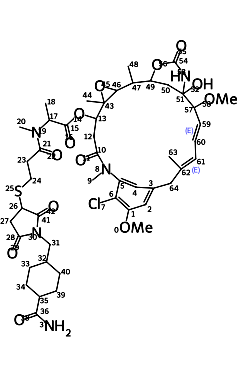 COc1cc2cc(c1Cl)N(C)C(=O)CC(OC(=O)C(C)N(C)C(=O)CCSC1CC(=O)N(CC3CCC(C(N)=O)CC3)C1=O)C1(C)OC1C(C)C1CC(O)(NC(=O)O1)C(OC)/C=C/C=C(\C)C2